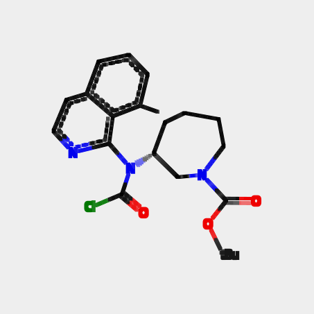 Cc1cccc2ccnc(N(C(=O)Cl)[C@@H]3CCCCN(C(=O)OC(C)(C)C)C3)c12